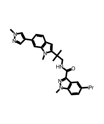 CC(C)c1ccc2c(c1)c(C(=O)NCC(C)(C)c1cc3ccc(-c4cnn(C)c4)cc3n1C)nn2C